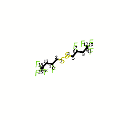 FC(CSSCC(F)CC(F)(F)F)CC(F)(F)F